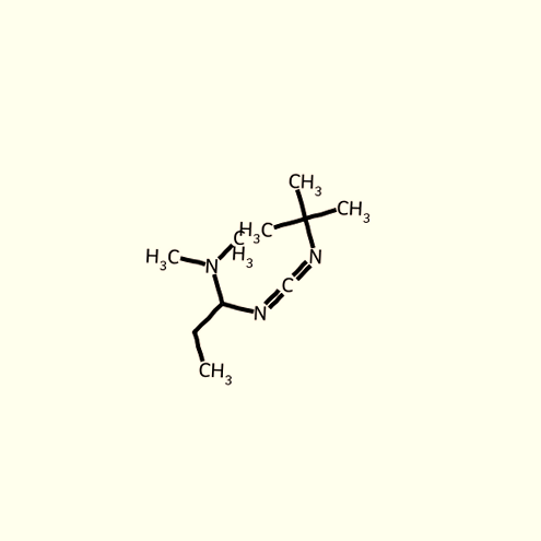 CCC(N=C=NC(C)(C)C)N(C)C